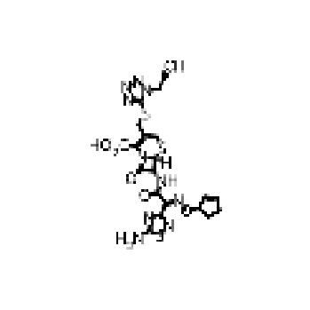 C#CCn1nnnc1SCC1=C(C(=O)O)N2C(=O)C(NC(=O)C(=NOC3C=CCC3)c3nsc(N)n3)[C@@H]2SC1